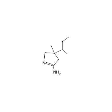 CCC(C)C1(C)CN=C(N)C1